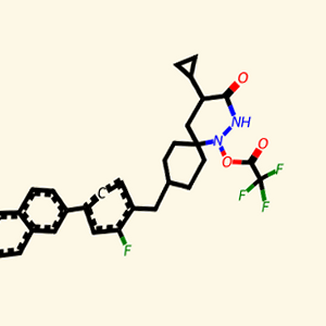 O=C1NN(OC(=O)C(F)(F)F)C2(CCC(Cc3ccc(-c4ccc5ccccc5c4)cc3F)CC2)CC1C1CC1